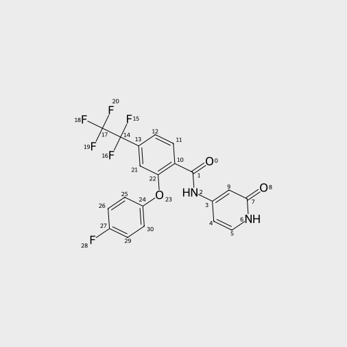 O=C(Nc1cc[nH]c(=O)c1)c1ccc(C(F)(F)C(F)(F)F)cc1Oc1ccc(F)cc1